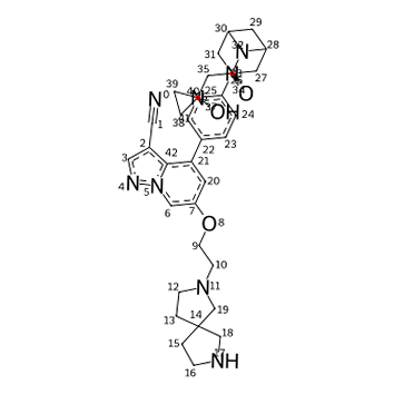 N#Cc1cnn2cc(OCCN3CCC4(CCNC4)C3)cc(-c3ccc(N4CC5CC(C4)N5C(=O)CC4(O)CC4)nc3)c12